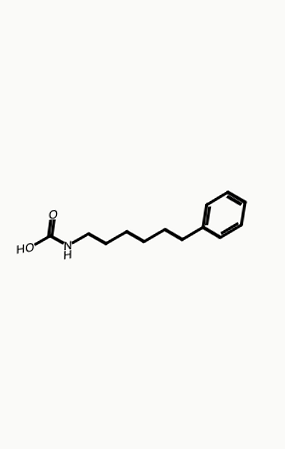 O=C(O)NCCCCCCc1ccccc1